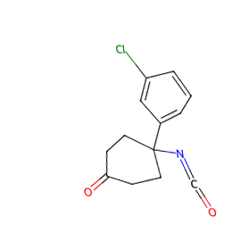 O=C=NC1(c2cccc(Cl)c2)CCC(=O)CC1